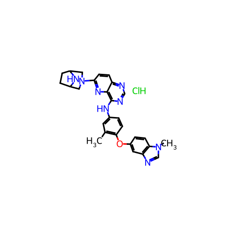 Cc1cc(Nc2ncnc3ccc(N4CC5CCC(C4)N5)nc23)ccc1Oc1ccc2c(c1)ncn2C.Cl